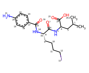 CC(C)CC(NC(=O)[C@H](CCCCI)NC(=O)c1ccc(N)cc1)C(=O)O